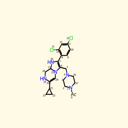 CC(=O)N1CCN(CC2=C(c3ccc(Cl)cc3Cl)NC3CNC(C4CC4)=CN23)CC1